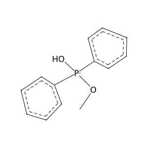 CO[P](O)(c1ccccc1)c1ccccc1